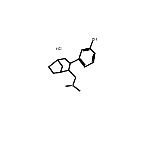 CN(C)CC1C2CCC(C2)CC1c1cccc(O)c1.Cl